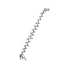 [CH]=C/C=C/CCCCCCCCCCCCCCCCCCCCCCCCCCC